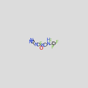 O=C(N1CCC(NCc2c(F)cc(F)cc2F)CC1)C1(F)CCN(Cc2ccnnc2)CC1